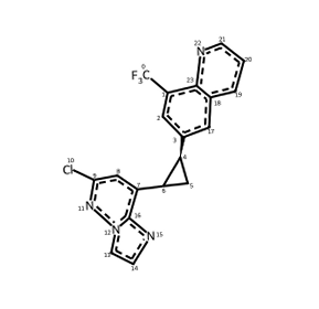 FC(F)(F)c1cc([C@H]2CC2c2cc(Cl)nn3ccnc23)cc2cccnc12